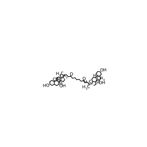 C[C@H](CCC(=O)CCCCCC(=O)CC[C@H](C)[C@H]1CCC2[C@@H]3[C@@H](O)CC4C[C@H](O)CC[C@]4(C)[C@H]3CC[C@@]21C)[C@H]1CCC2[C@@H]3[C@@H](O)CC4C[C@H](O)CC[C@]4(C)[C@H]3CC[C@@]21C